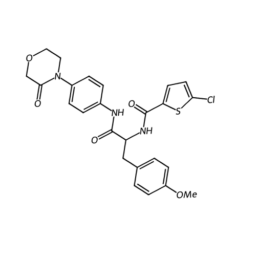 COc1ccc(CC(NC(=O)c2ccc(Cl)s2)C(=O)Nc2ccc(N3CCOCC3=O)cc2)cc1